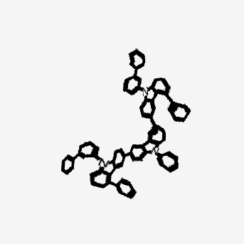 c1ccc(-c2cccc(-n3c4ccc(-c5ccc6c(c5)c5cc(-c7ccc8c(c7)c7c(-c9ccccc9)cccc7n8-c7cccc(-c8ccccc8)c7)ccc5n6-c5ccccc5)cc4c4c(-c5ccccc5)cccc43)c2)cc1